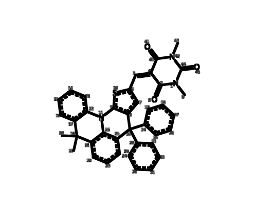 CN1C(=O)C(=Cc2cc3c(s2)N2c4ccccc4C(C)(C)c4cccc(c42)C3(c2ccccc2)c2ccccc2)C(=O)N(C)C1=O